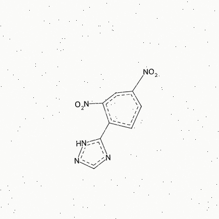 O=[N+]([O-])c1ccc(-c2ncn[nH]2)c([N+](=O)[O-])c1